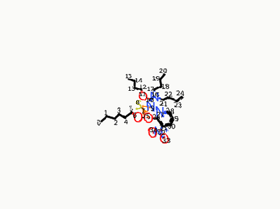 CCCCCCOP(=S)(N=C(OCCCC)N(CCCC)CCCC)Oc1ncccc1[N+](=O)[O-]